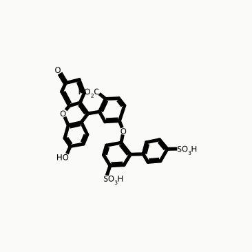 O=C(O)c1ccc(Oc2ccc(S(=O)(=O)O)cc2-c2ccc(S(=O)(=O)O)cc2)cc1-c1c2ccc(=O)cc-2oc2cc(O)ccc12